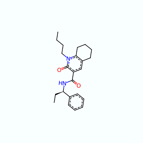 CCCCn1c2c(cc(C(=O)N[C@H](CC)c3ccccc3)c1=O)CCCC2